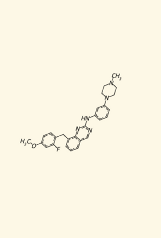 COc1ccc(Cc2cccc3cnc(Nc4cccc(N5CCN(C)CC5)c4)nc23)c(F)c1